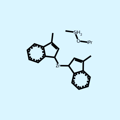 CC1=C[CH]([Zr][CH]2C=C(C)c3ccccc32)c2ccccc21.C[SiH2]OC(C)C